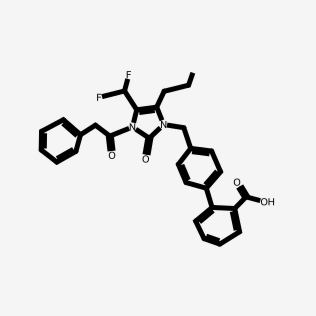 CCCc1c(C(F)F)n(C(=O)Cc2ccccc2)c(=O)n1Cc1ccc(-c2ccccc2C(=O)O)cc1